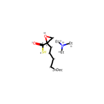 CCCCCCCCCCCCCCC1(C(=O)S)CO1.CCN(CC)CC